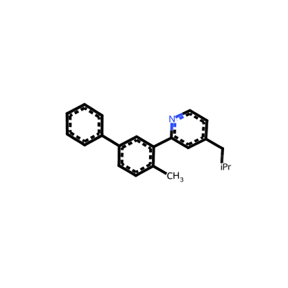 Cc1ccc(-c2ccccc2)cc1-c1cc(CC(C)C)ccn1